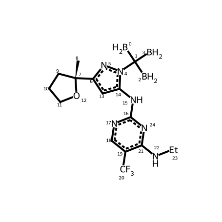 BC(B)(B)n1nc([C@@]2(C)CCCO2)cc1Nc1ncc(C(F)(F)F)c(NCC)n1